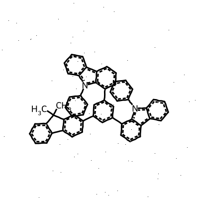 CC1(C)c2ccccc2-c2ccc(-c3cc(-c4cccc5c6ccccc6n(-c6ccccc6)c45)cc(-c4cccc5c6ccccc6n(-c6ccccc6)c45)c3)cc21